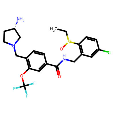 CC[S+]([O-])c1ccc(Cl)cc1CNC(=O)c1ccc(CN2CC[C@H](N)C2)c(OC(F)(F)F)c1